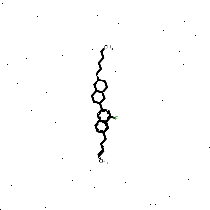 CC=CCCc1ccc2cc(C3CCC4CC(CCCCCC)CCC4C3)cc(F)c2c1